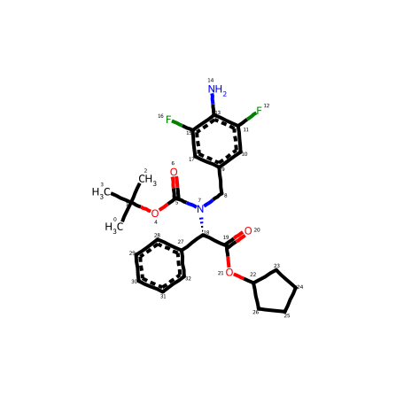 CC(C)(C)OC(=O)N(Cc1cc(F)c(N)c(F)c1)[C@H](C(=O)OC1CCCC1)c1ccccc1